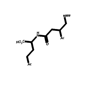 CNCC(CC(=O)NC(CCC(C)=O)C(=O)O)C(C)=O